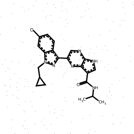 CC(C)NC(=O)c1c[nH]c2ncc(-c3nn(CC4CC4)c4cc(Cl)ccc34)nc12